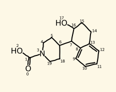 O=C(O)N1CCC(C2c3ccccc3CCC2O)CC1